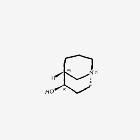 O[C@@H]1CC[N@@]2CCC[C@@H]1C2